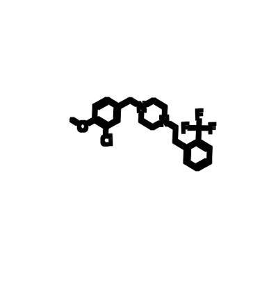 COc1ccc(CN2CCN(CCc3ccccc3C(F)(F)F)CC2)cc1Cl